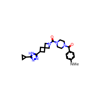 CNc1ccc(C(=O)N2CCN(C(=O)N3CC4(CC(c5nnc(C6CC6)[nH]5)C4)C3)CC2)cc1